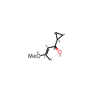 COC(C)=CC(=O)C1CC1